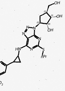 CCCSc1nc(NC2CC2c2cccc([N+](=O)[O-])c2)c2nnn([C@H]3C[C@@H](CO)[C@H](O)[C@@H]3O)c2n1